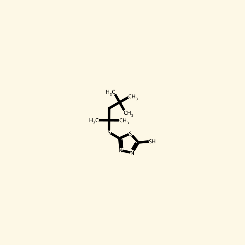 CC(C)(C)CC(C)(C)Sc1nnc(S)s1